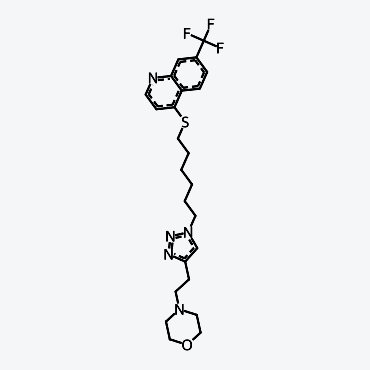 FC(F)(F)c1ccc2c(SCCCCCCn3cc(CCN4CCOCC4)nn3)ccnc2c1